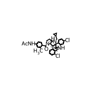 CC(=O)Nc1ccc(C(=O)N2CC[C@H]3C2[C@H](c2cccc(Cl)c2F)[C@]2(C(=O)Nc4cc(Cl)ccc42)N3CC2CC2)c(C)c1